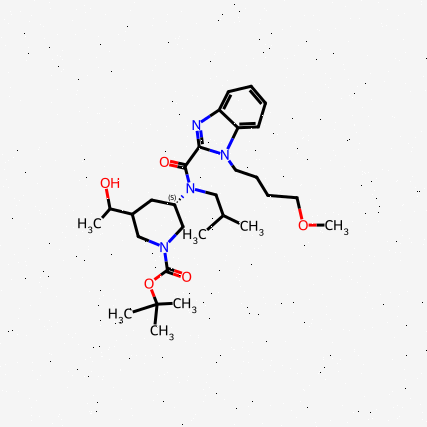 COCCCCn1c(C(=O)N(CC(C)C)[C@H]2CC(C(C)O)CN(C(=O)OC(C)(C)C)C2)nc2ccccc21